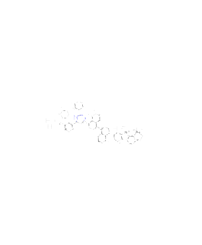 CC1(C)c2ccccc2-c2c(-c3cc(-c4ccc(-c5ccc(-c6ccc7c(c6)C(C)(C)c6c-7ccc7ccccc67)c6ccccc56)c5ccccc45)nc(-c4ccccc4)n3)cccc21